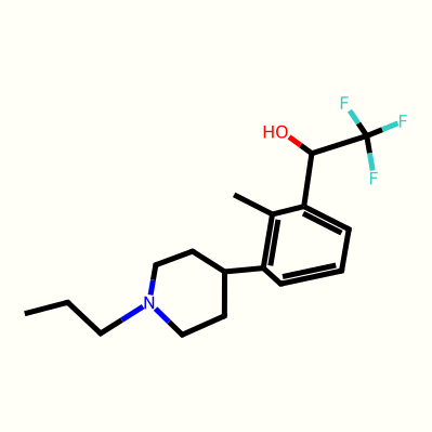 CCCN1CCC(c2cccc(C(O)C(F)(F)F)c2C)CC1